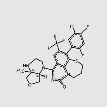 C[C@]12COC[C@H]1N(c1nc(=O)n3c4c(c(-c5cc(Cl)c(F)cc5F)c(C(F)(F)F)cc14)SCCC3)CCN2